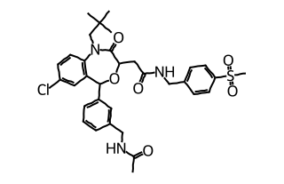 CC(=O)NCc1cccc(C2OC(CC(=O)NCc3ccc(S(C)(=O)=O)cc3)C(=O)N(CC(C)(C)C)c3ccc(Cl)cc32)c1